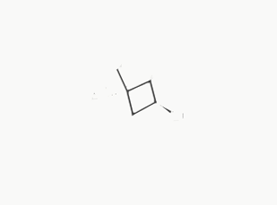 CC[C@H]1C[C@](C)(C(C)=O)C1